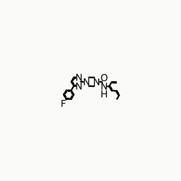 C=C/C(=C\C=C/C)NC(=O)N1CCN(c2nccc(-c3ccc(F)cc3)n2)CC1